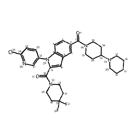 O=C(c1ccc2c(c1)cc(C(=O)N1CCC(F)(F)CC1)n2-c1ccc(Cl)nc1)N1CCC(N2CCCCC2)CC1